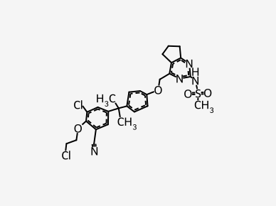 CC(C)(c1ccc(OCc2nc(NS(C)(=O)=O)nc3c2CCC3)cc1)c1cc(Cl)c(OCCCl)c(C#N)c1